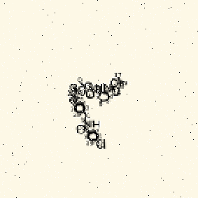 CC(OC(=O)O[C@@H]1CCCC[C@H]1NC(=O)OC(C)(C)C)OC(=O)C(C)(C)Oc1ccc(CCNC(=O)c2ccc(Cl)cc2)cc1